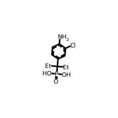 CCC(CC)(c1ccc(N)c(Cl)c1)P(=O)(O)O